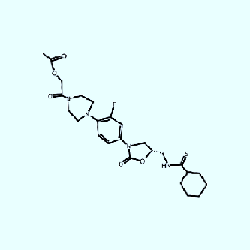 CC(=O)OCC(=O)N1CCN(c2ccc(N3C[C@H](CNC(=S)C4CCCCC4)OC3=O)cc2F)CC1